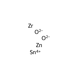 [O-2].[O-2].[Sn+4].[Zn].[Zr]